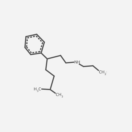 [CH2]CCNCCC(CCC(C)C)c1ccccc1